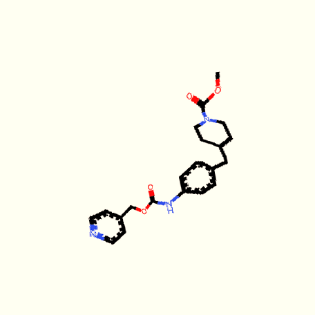 COC(=O)N1CCC(Cc2ccc(NC(=O)OCc3ccncc3)cc2)CC1